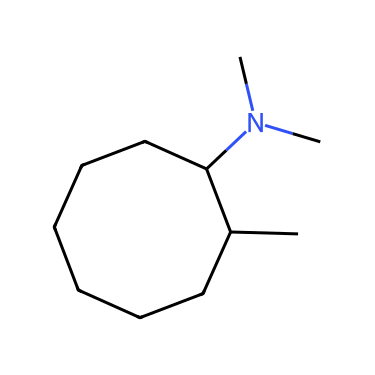 CC1CCCCCCC1N(C)C